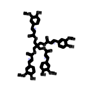 COc1cc(/C=C/C(=O)OCC(COC(=O)/C=C/c2ccc(O)c(OC)c2)(COC(=O)/C=C/c2ccc(O)c(OC)c2)COC(=O)/C=C/c2ccc(O)c(OC)c2)ccc1O